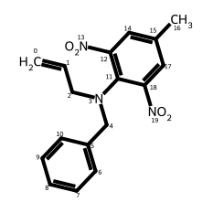 C=CCN(Cc1ccccc1)c1c([N+](=O)[O-])cc(C)cc1[N+](=O)[O-]